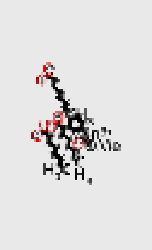 CCCCCCCC(=O)[O-].CCCCCCCC(=O)[O-].CCCCCCCC(=O)[O-].CO[C](=O)[Sn+3][c]1ccccc1